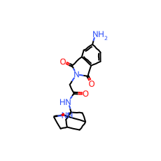 Nc1ccc2c(c1)C(=O)N(CC(=O)NC13CC4CC(CC(C4)N1)C3)C2=O